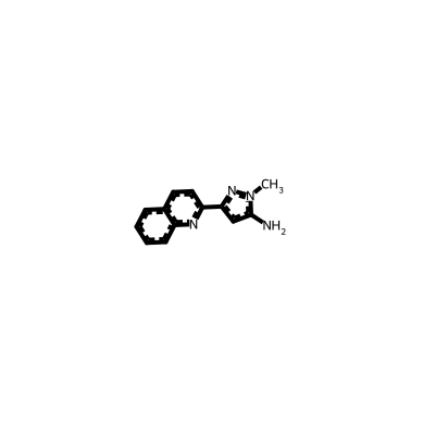 Cn1nc(-c2ccc3ccccc3n2)cc1N